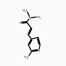 Cc1cc(/C=C/C(=O)N(C)C)ccn1